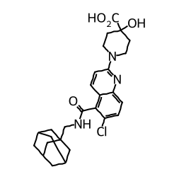 O=C(NCC12CC3CC(CC(C3)C1)C2)c1c(Cl)ccc2nc(N3CCC(O)(C(=O)O)CC3)ccc12